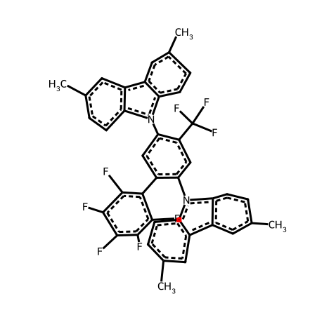 Cc1ccc2c(c1)c1cc(C)ccc1n2-c1cc(C(F)(F)F)c(-n2c3ccc(C)cc3c3cc(C)ccc32)cc1-c1c(F)c(F)c(F)c(F)c1F